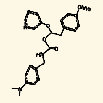 COc1ccc(CC(OC(=O)NCc2ccc(N(C)C)cc2)Oc2cccnc2)cc1